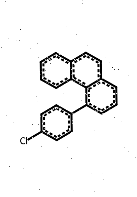 Clc1ccc(-c2cccc3ccc4ccccc4c23)cc1